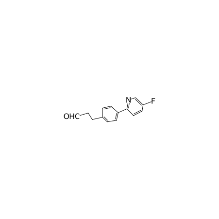 O=CCCc1ccc(-c2ccc(F)cn2)cc1